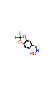 O/N=C\c1ccc2c(c1)OC(F)(F)O2